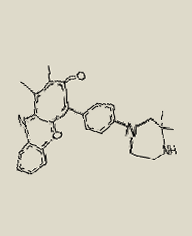 Cc1c2nc3ccccc3oc-2c(-c2ccc(N3CCNC(C)(C)C3)cc2)c(=O)c1C